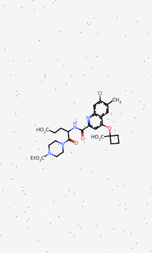 CCOC(=O)N1CCN(C(=O)C(CCC(=O)O)NC(=O)c2cc(OC3(C(=O)O)CCC3)c3cc(C)c(Cl)cc3n2)CC1